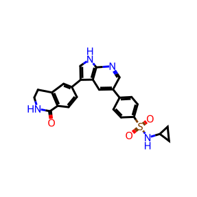 O=C1NCCc2cc(-c3c[nH]c4ncc(-c5ccc(S(=O)(=O)NC6CC6)cc5)cc34)ccc21